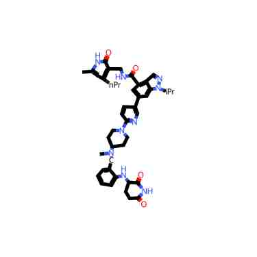 CCCc1cc(C)[nH]c(=O)c1CNC(=O)c1cc(-c2ccc(N3CCC(N(C)Cc4ccccc4NC4CCC(=O)NC4=O)CC3)nc2)cc2c1cnn2C(C)C